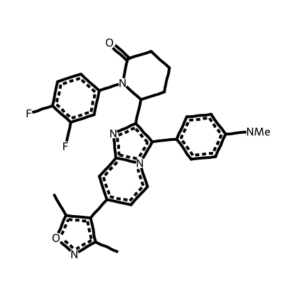 CNc1ccc(-c2c(C3CCCC(=O)N3c3ccc(F)c(F)c3)nc3cc(-c4c(C)noc4C)ccn23)cc1